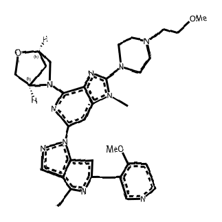 COCCN1CCN(c2nc3c(N4C[C@H]5C[C@@H]4CO5)nc(-n4ncc5c(C)nc(-c6cnccc6OC)cc54)cc3n2C)CC1